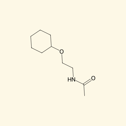 CC(=O)NCCOC1CCCCC1